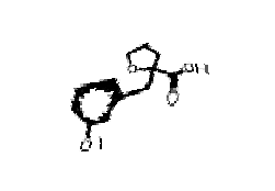 O=C(O)C1(Cc2cccc(O)c2)CCCO1